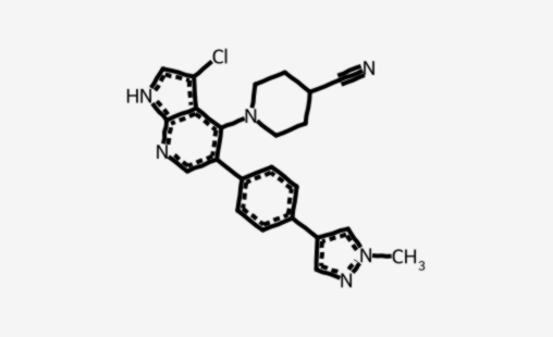 Cn1cc(-c2ccc(-c3cnc4[nH]cc(Cl)c4c3N3CCC(C#N)CC3)cc2)cn1